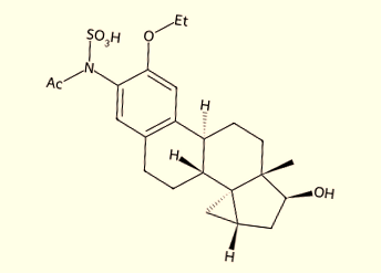 CCOc1cc2c(cc1N(C(C)=O)S(=O)(=O)O)CC[C@@H]1[C@@H]2CC[C@]2(C)[C@@H](O)C[C@@H]3C[C@]312